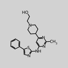 Cc1nc(Nc2ncc(-c3ccccc3)s2)cc(C2CCN(CCO)CC2)n1